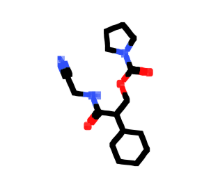 N#CCNC(=O)C(COC(=O)N1CCCC1)C1CCCCC1